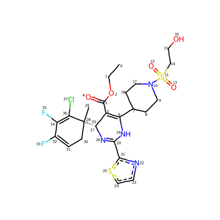 CCOC(=O)C1=C(C2CCN(S(=O)(=O)CCO)CC2)NC(c2nccs2)=N[C@@H]1C1(C)CC=C(F)C(F)=C1Cl